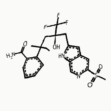 CC(C)(C[C@@](O)(Cc1cc2cc(S(C)(=O)=O)ncc2[nH]1)C(F)(F)F)c1ccccc1C(N)=O